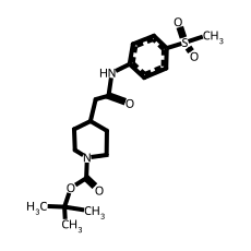 CC(C)(C)OC(=O)N1CCC(CC(=O)Nc2ccc(S(C)(=O)=O)cc2)CC1